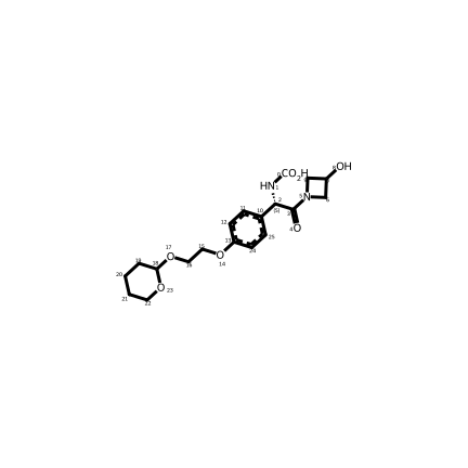 O=C(O)N[C@H](C(=O)N1CC(O)C1)c1ccc(OCCOC2CCCCO2)cc1